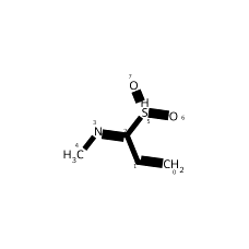 C=C/C(=N\C)[SH](=O)=O